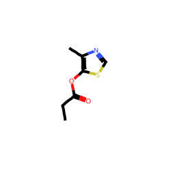 CCC(=O)Oc1scnc1C